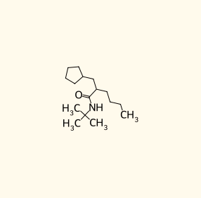 CCCCC(CC1CCCC1)C(=O)NC(C)(C)C